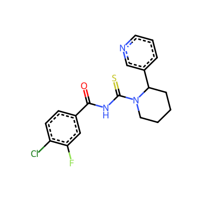 O=C(NC(=S)N1CCCCC1c1cccnc1)c1ccc(Cl)c(F)c1